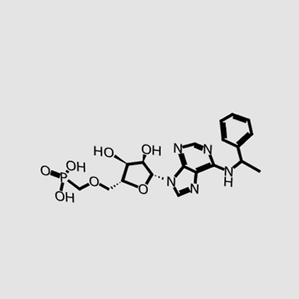 CC(Nc1ncnc2c1ncn2[C@@H]1O[C@H](COCP(=O)(O)O)[C@@H](O)[C@H]1O)c1ccccc1